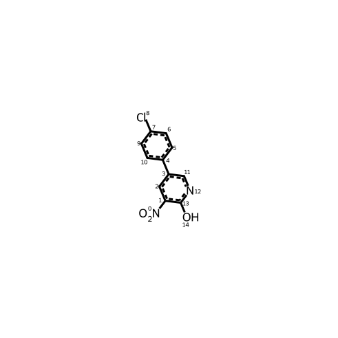 O=[N+]([O-])c1cc(-c2ccc(Cl)cc2)cnc1O